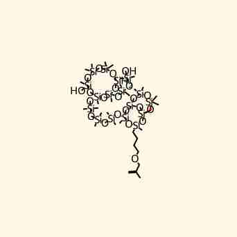 C=C(C)COCCCC[Si]1(C)O[Si](C)(O[Si](C)(C)O[Si](C)(C)O[Si](C)(C)O[Si]2(C)O[Si](C)(O)O[Si](C)(C)O[Si](C)(C)O[SiH2]O[Si](C)(O[Si](C)(C)O[Si](C)(C)O)O2)O[Si]2(C)O[Si](C)(C)O[Si](C)(C)O[Si](C)(O1)O2